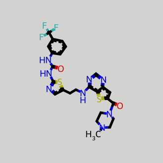 CN1CCN(C(=O)c2cc3ncnc(NCCc4cnc(NC(=O)Nc5cccc(C(F)(F)F)c5)s4)c3s2)CC1